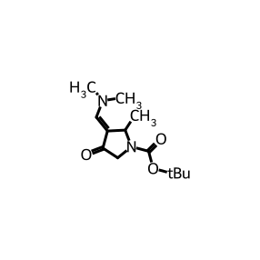 CC1/C(=C\N(C)C)C(=O)CN1C(=O)OC(C)(C)C